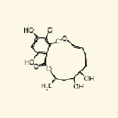 C[C@@H]1CC(O)C(O)CC/C=C/OCc2c(Cl)c(O)cc(O)c2C(=O)O1